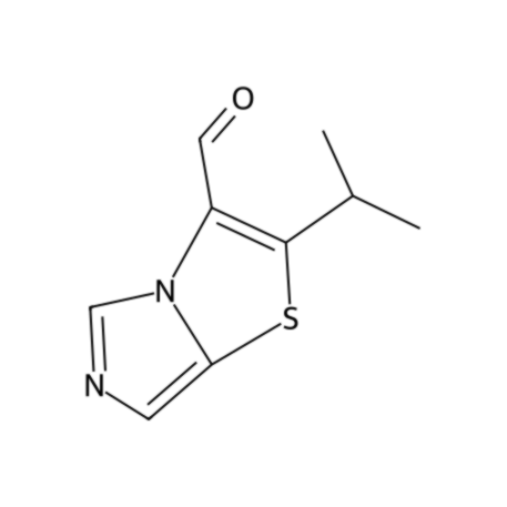 CC(C)c1sc2cncn2c1C=O